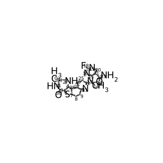 C[C@@H]1CNc2c(sc3ccc4nc(N(C)c5nc(F)ncc5C(N)=O)ccc4c23)C(=O)N1